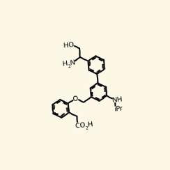 CC(C)Nc1cc(COc2ccccc2CC(=O)O)cc(-c2cccc(C(N)CO)c2)c1